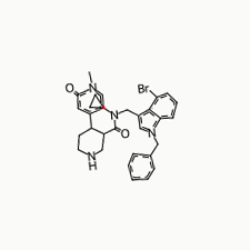 Cn1ccc(C2CCNCC2C(=O)N(Cc2cn(Cc3ccccc3)c3cccc(Br)c23)C2CC2)cc1=O